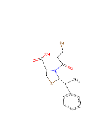 CC(c1ccccc1)C1SCC(C(=O)O)N1C(=O)CCS